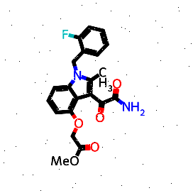 COC(=O)COc1cccc2c1c(C(=O)C(N)=O)c(C)n2Cc1ccccc1F